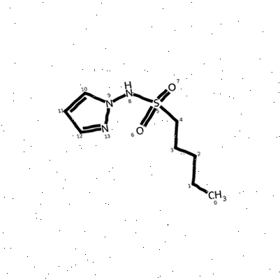 CCCCCS(=O)(=O)Nn1cccn1